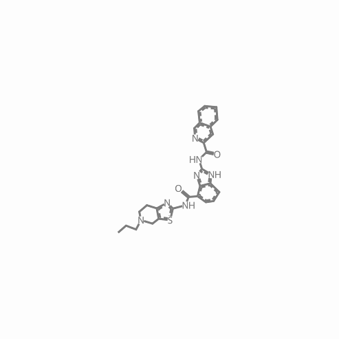 CCCN1CCc2nc(NC(=O)c3cccc4[nH]c(NC(=O)c5cc6ccccc6cn5)nc34)sc2C1